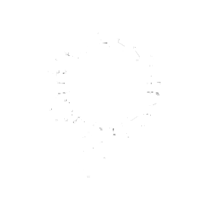 CO[C@H]1C[C@@H]2CC[C@@H](C)[C@@](O)(O2)C(=O)C(=O)N2CCCC[C@H]2C(=O)O[C@H]([C@H](C)CC2CCC(O)CC2)CC(=O)[C@H](C)/C=C(\C)[C@@H](O)[C@@H](O)C(=O)[C@H](C)C[C@H](C)/C=C/C=C/C=C/1C